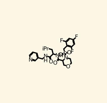 CC(C)CC(NC(=O)C1COCCN1S(=O)(=O)Cc1c(F)cc(F)cc1F)C(=O)NCc1cccnc1